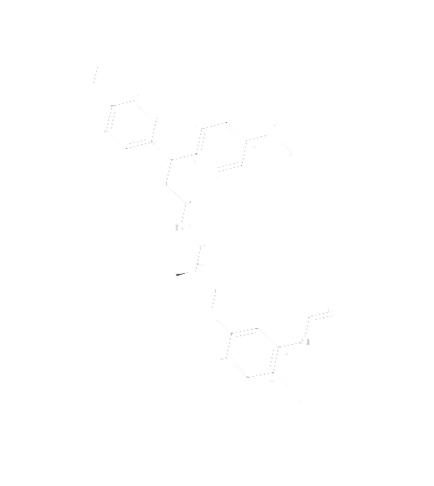 COc1ccc(C(CCNC[C@H](O)COc2ccc(O)c(NC=O)c2)c2ccc(OC)cc2)cc1